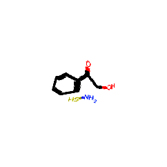 NS.O=C(CO)c1ccccc1